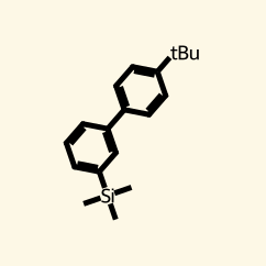 CC(C)(C)c1ccc(-c2cccc([Si](C)(C)C)c2)cc1